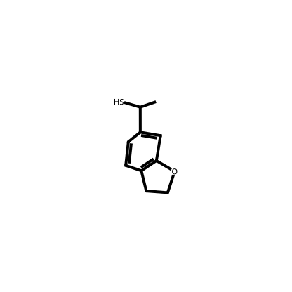 CC(S)c1ccc2c(c1)OCC2